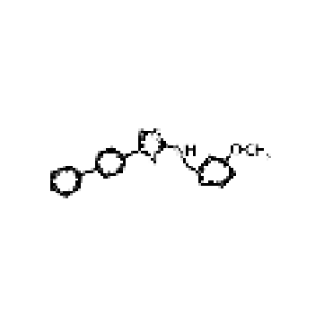 COc1cccc(CNc2nc(-c3ccc(-c4ccccc4)cc3)cs2)c1